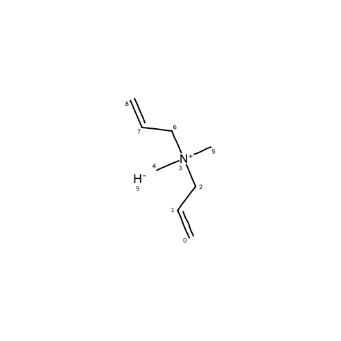 C=CC[N+](C)(C)CC=C.[H-]